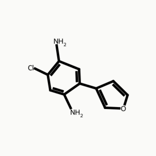 Nc1cc(-c2ccoc2)c(N)cc1Cl